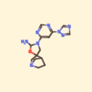 NC1OC2(CN3CCC2CC3)CN1c1cc(-n2cncn2)ncn1